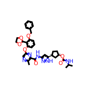 Cc1ncc(Oc2cccc(OCc3ccccc3)c2C2OCCO2)nc1C(=O)Nc1cc([C@H]2CC[C@@H](OC(=O)NC(C)C)C2)[nH]n1